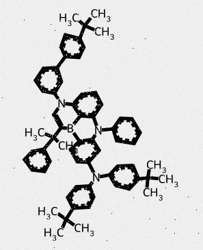 CC(C)(C)c1ccc(-c2cccc(N3C=C(C(C)(C)c4ccccc4)B4c5ccc(N(c6ccc(C(C)(C)C)cc6)c6ccc(C(C)(C)C)cc6)cc5N(c5ccccc5)c5cccc3c54)c2)cc1